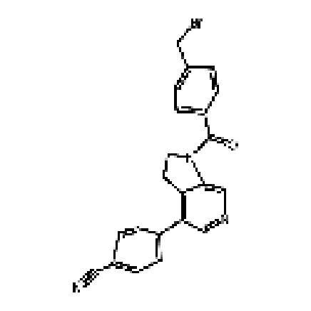 N#Cc1ccc(-c2cncc3c2CCN3C(=O)c2ccc(CBr)cc2)cc1